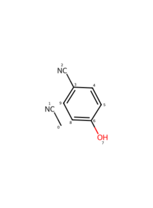 CC#N.N#Cc1ccc(O)cc1